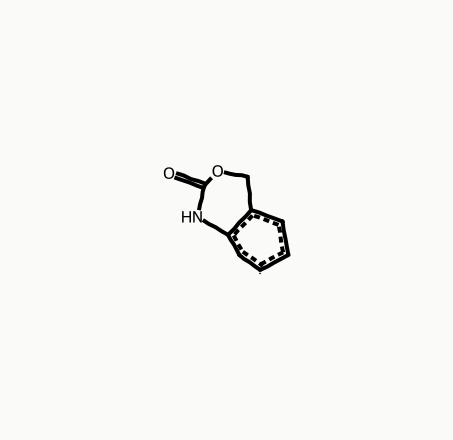 O=C1Nc2c[c]ccc2CO1